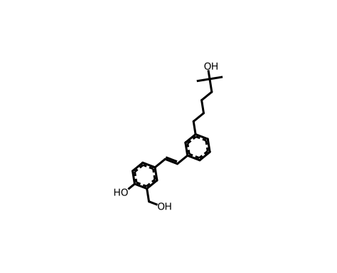 CC(C)(O)CCCCc1cccc(C=Cc2ccc(O)c(CO)c2)c1